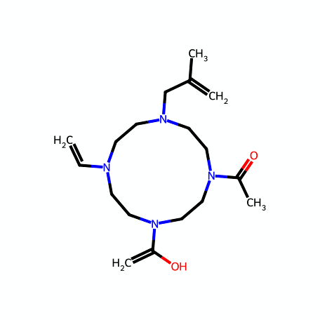 C=CN1CCN(CC(=C)C)CCN(C(C)=O)CCN(C(=C)O)CC1